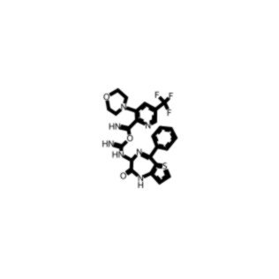 N=C(NC1N=C(c2ccccc2)c2sccc2NC1=O)OC(=N)c1ncc(C(F)(F)F)cc1N1CCOCC1